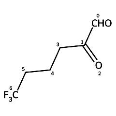 O=CC(=O)CCCC(F)(F)F